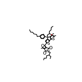 CCCCCCc1ccc(C2(CC(CC)CCCC)c3cc(C)sc3-c3sc(-c4oc(C)c5c4C(=O)N(CC(CC)CCCC)C5=O)cc32)cc1